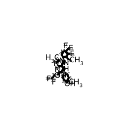 Cc1nc(N[C@H](C)c2cccc(C(F)F)c2F)c2cc(N3CCC(C)(O)CC3)c(OCC(F)F)nc2n1